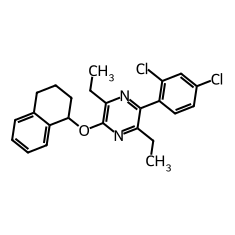 CCc1nc(-c2ccc(Cl)cc2Cl)c(CC)nc1OC1CCCc2ccccc21